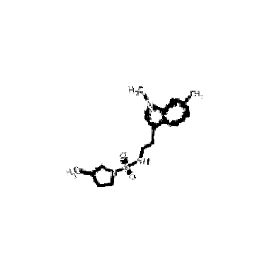 Cc1ccc2c(CCNS(=O)(=O)N3CCC(C)C3)cn(C)c2c1